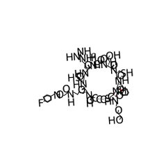 N=C(N)NCCC[C@@H]1NC(=O)[C@H](CS)NC(=O)[C@H](CCCCNC(=O)CO/N=C/c2ccc(F)cc2)NC(=O)CCCSC[C@@H](C(=O)NCCOCCO)NC(=O)[C@H](Cc2ccccc2)NC(=O)[C@H](CS)NC(=O)[C@H](CC(=O)O)NC(=O)CNC1=O